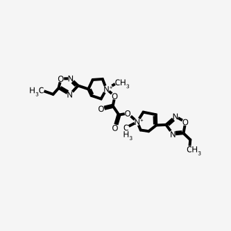 CCc1nc(C2=CC[N+](C)(OC(=O)C(=O)O[N+]3(C)CC=C(c4noc(CC)n4)CC3)CC2)no1